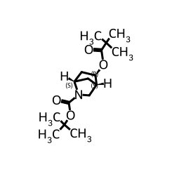 CC(C)(C)OC(=O)N1C[C@@H]2C[C@H]1C[C@H]2OC(=O)C(C)(C)C